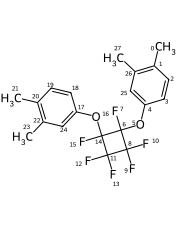 Cc1ccc(OC2(F)C(F)(F)C(F)(F)C2(F)Oc2ccc(C)c(C)c2)cc1C